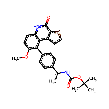 COc1ccc2[nH]c(=O)c3sccc3c2c1-c1ccc([C@H](C)NC(=O)OC(C)(C)C)cc1